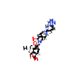 Cc1c([C@@H](O)CN2CCC3(CCN(c4ccc5nncn5n4)CC3)C2)ccc2c1COC2=O